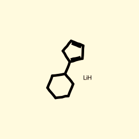 C1=CCC(C2CCCCC2)=C1.[LiH]